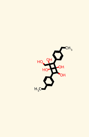 CCc1ccc(C2C(O)[C@@]3(O)C(c4ccc(CC)cc4)[C@@](O)(CO)[C@@]23O)cc1